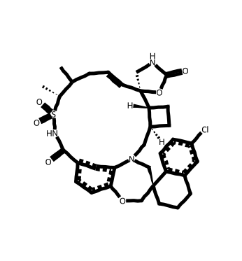 CC1C/C=C/[C@]2(CNC(=O)O2)[C@@H]2CC[C@H]2CN2C[C@@]3(CCCc4cc(Cl)ccc43)COc3ccc(cc32)C(=O)NS(=O)(=O)[C@@H]1C